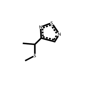 CSC(C)c1cnsn1